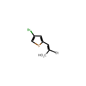 CCC(=Cc1cc(Br)cs1)C(=O)O